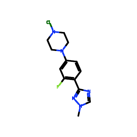 Cn1cnc(-c2ccc(N3CCN(Cl)CC3)cc2F)n1